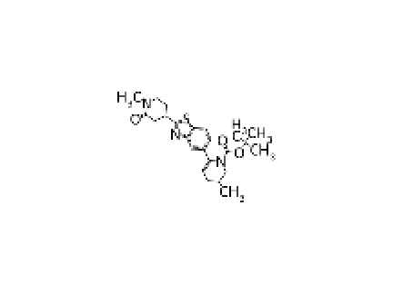 CC1CC=C(c2ccc3sc(C4CCN(C)C(=O)C4)nc3c2)N(C(=O)OC(C)(C)C)C1